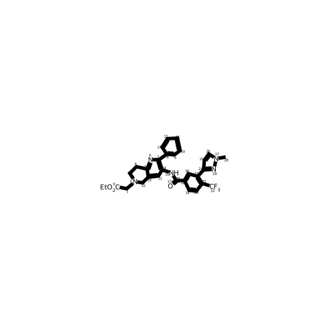 CCOC(=O)CN1CCc2nc(-c3ccccc3)c(NC(=O)c3ccc(C(F)(F)F)c(-c4ccn(C)n4)c3)cc2C1